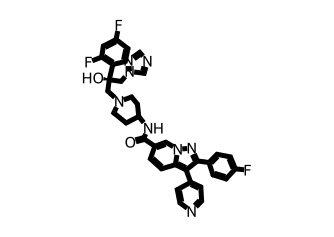 O=C(NC1CCN(C[C@@](O)(Cn2cncn2)c2ccc(F)cc2F)CC1)c1ccc2c(-c3ccncc3)c(-c3ccc(F)cc3)nn2c1